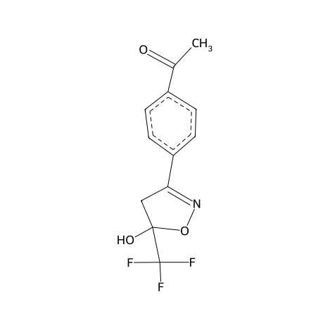 CC(=O)c1ccc(C2=NOC(O)(C(F)(F)F)C2)cc1